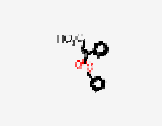 O=C(O)CC=C(C(=O)OCc1ccccc1)c1ccccc1